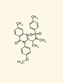 COc1ccc(-n2c(C(C)N(C)S(=O)(=O)c3ccc(C)cc3)nc3cc(C)ccc3c2=O)cc1